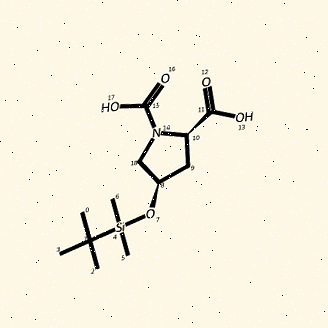 CC(C)(C)[Si](C)(C)O[C@@H]1C[C@H](C(=O)O)N(C(=O)O)C1